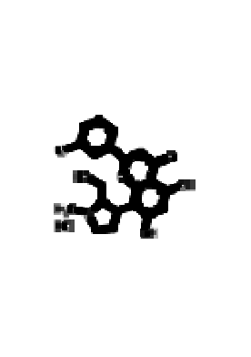 CN1CCC(c2c(O)cc(O)c3c(=O)cc(-c4cccc(Cl)c4)oc23)C1CO.Cl